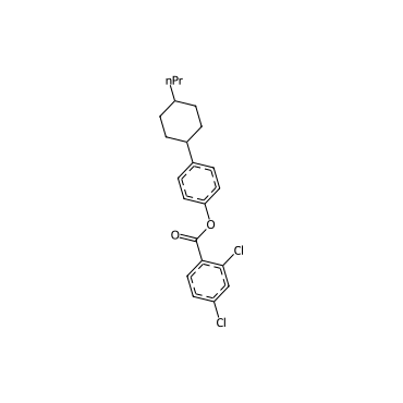 CCCC1CCC(c2ccc(OC(=O)c3ccc(Cl)cc3Cl)cc2)CC1